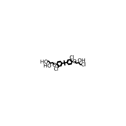 CC(C)(c1ccc(OCC(O)CO)c(Cl)c1)c1ccc(OCC(O)CCl)c(Cl)c1